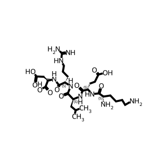 CC(C)C[C@H](NC(=O)[C@H](CCC(=O)O)NC(=O)[C@@H](N)CCCCN)C(=O)N[C@@H](CCCNC(=N)N)C(=O)N[C@H](CC(=O)O)C(=O)O